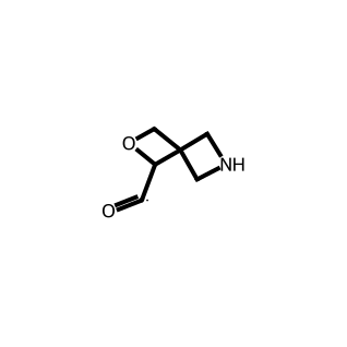 O=[C]C1OCC12CNC2